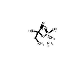 CCC(N)(C#N)OP(C)(=O)O.N